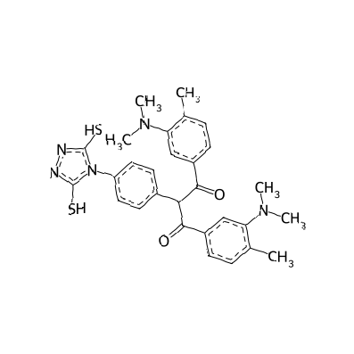 Cc1ccc(C(=O)C(C(=O)c2ccc(C)c(N(C)C)c2)c2ccc(-n3c(S)nnc3S)cc2)cc1N(C)C